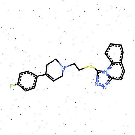 Fc1ccc(C2=CCN(CCSc3nnc4ccc5ccccc5n34)CC2)cc1